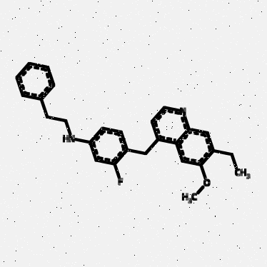 CCc1cc2nccc(Cc3ccc(NCCc4ccccc4)cc3F)c2cc1OC